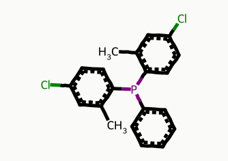 Cc1cc(Cl)ccc1P(c1ccccc1)c1ccc(Cl)cc1C